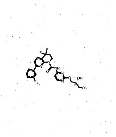 O=C(Nc1ccnc(OC[C@H](O)CO)n1)N1CCC(F)(F)c2ccc(-c3cccc(C(F)(F)F)c3)nc21